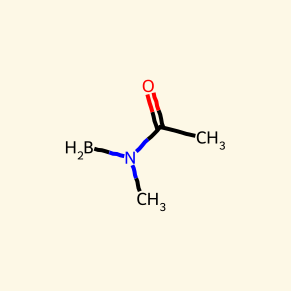 BN(C)C(C)=O